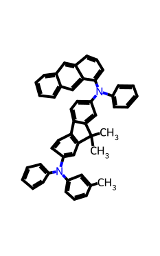 Cc1cccc(N(c2ccccc2)c2ccc3c(c2)C(C)(C)c2cc(N(c4ccccc4)c4cccc5cc6ccccc6cc45)ccc2-3)c1